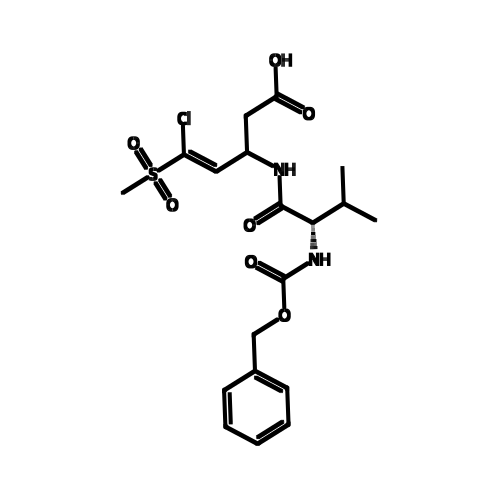 CC(C)[C@H](NC(=O)OCc1ccccc1)C(=O)NC(/C=C(\Cl)S(C)(=O)=O)CC(=O)O